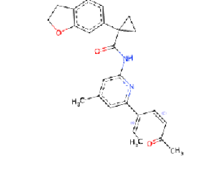 C/C=C(\C=C/C(C)=O)c1cc(C)cc(NC(=O)C2(c3ccc4c(c3)OCC4)CC2)n1